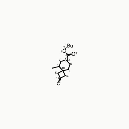 CC1CN(C(=O)OC(C)(C)C)CCC12CC(=O)C2